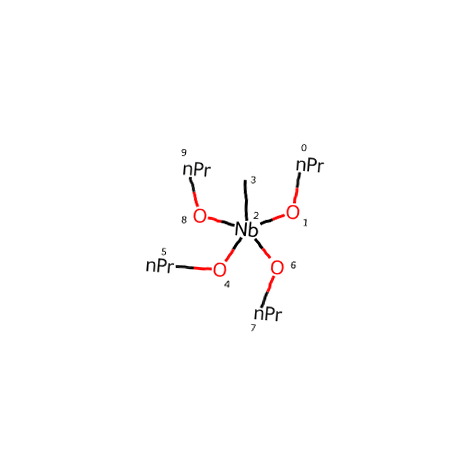 CCC[O][Nb]([CH3])([O]CCC)([O]CCC)[O]CCC